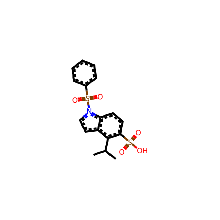 CC(C)c1c(S(=O)(=O)O)ccc2c1ccn2S(=O)(=O)c1ccccc1